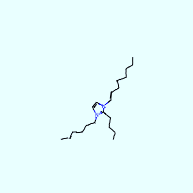 CCCCCCCCn1cc[n+](CCCCCC)c1CCCC